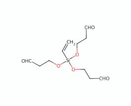 C=C[Si](OCCC=O)(OCCC=O)OCCC=O